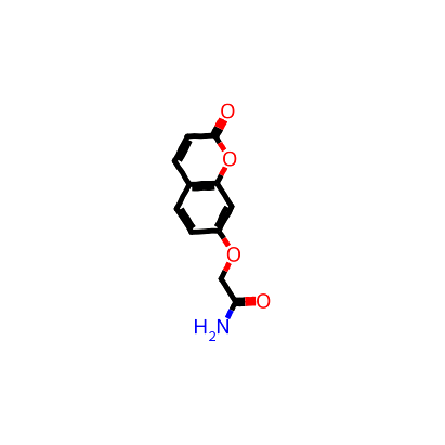 NC(=O)COc1ccc2ccc(=O)oc2c1